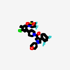 Cc1cc(N(CC(F)F)S(C)(=O)=O)c(C2CCN(C(=O)C3CN(C4CCOCC4)CC3c3ccc(F)cc3F)CC2)cc1Cl